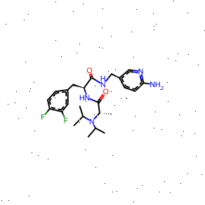 CC(C)N(C(C)C)[C@@H](C)C(=O)N[C@@H](Cc1ccc(F)c(F)c1)C(=O)NCc1ccc(N)nc1